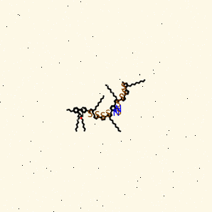 CCCCCCCCc1cc(C)sc1-c1ccc(-c2ccc(-c3sc(-c4ccc(-c5cc(CCCCCCCC)c(-c6ccc(-c7ccc(-c8sc(-c9ccc%10c(c9)[Si](CCCCCCCC)(CCCCCCCC)c9cc(CCC)ccc9-%10)cc8CCCCCCCC)s7)s6)s5)c5nsnc45)cc3CCCCCCCC)s2)s1